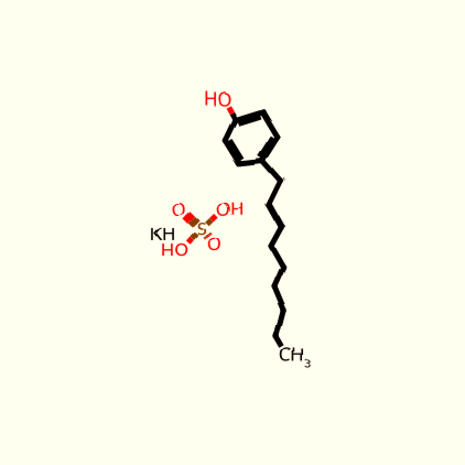 CCCCCCCCCc1ccc(O)cc1.O=S(=O)(O)O.[KH]